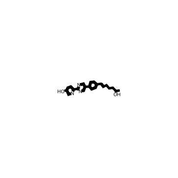 CC(O)CCCC=Cc1ccc(-c2cnc(-c3ccc(O)cn3)nc2)cc1